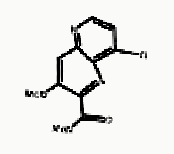 CNC(=O)c1nc2c(Cl)ccnc2cc1OC